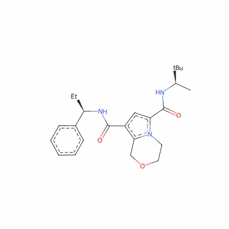 CC[C@@H](NC(=O)c1cc(C(=O)N[C@H](C)C(C)(C)C)n2c1COCC2)c1ccccc1